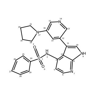 O=S(=O)(Nc1ccnc2[nH]cc(-c3cncc(N4CCCC4)c3)c12)c1ccccc1